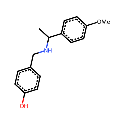 COc1ccc(C(C)NCc2ccc(O)cc2)cc1